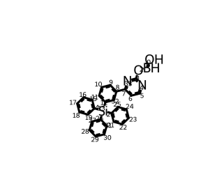 OBOc1nccc(-c2cccc([Si](c3ccccc3)(c3ccccc3)c3ccccc3)c2)n1